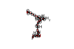 Cc1cccc(-c2nc(CNc3cccc(F)c3)[nH]c2-c2ccc3ncc(OCCCCNC(=O)OCc4ccc(NC(=O)[C@H](CCCNC(N)=O)NC(=O)[C@@H](NC(=O)CCOCCOCCOCCOCCN5C(=O)C=CC5=O)C(C)C)cc4)cc3c2)n1